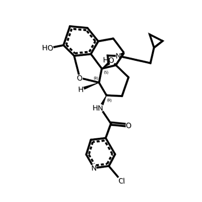 O=C(N[C@@H]1CCC2(O)C3Cc4ccc(O)c5c4[C@@]2(CCN3CC2CC2)[C@H]1O5)c1ccnc(Cl)c1